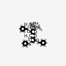 C[C@@H]1O[C@@H](O[C@@H]2[C@H](C)O[C@@H](Sc3ccccc3)C[C@@H]2OCc2ccccc2)C[C@H](OCc2ccccc2)[C@@H]1O[Si](C)(C)C